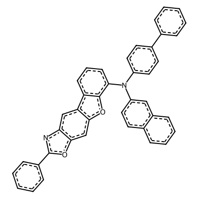 c1ccc(-c2ccc(N(c3ccc4ccccc4c3)c3cccc4c3oc3cc5oc(-c6ccccc6)nc5cc34)cc2)cc1